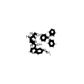 C=C[C@H]1C[N@]2CC[C@H]1C[C@H]2[C@H](O)c1ccnc2ccc(OC)cc12.c1ccc(P(c2ccccc2)c2ccccc2)cc1